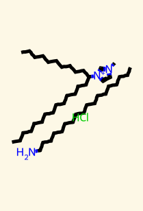 CCCCCCCCCCCCCCC(CCCCCCCCCC)[n+]1ccn(C)c1.CCCCCCCCCCCCCCCCCCN.Cl